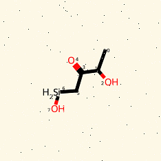 CC(O)C(=O)C[SiH2]O